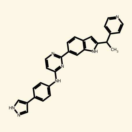 CC(c1ccncc1)c1cc2ccc(-c3nccc(Nc4ccc(-c5cn[nH]c5)cc4)n3)cc2[nH]1